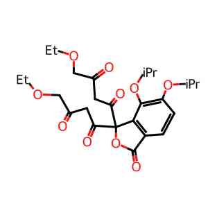 CCOCC(=O)CC(=O)C1(C(=O)CC(=O)COCC)OC(=O)c2ccc(OC(C)C)c(OC(C)C)c21